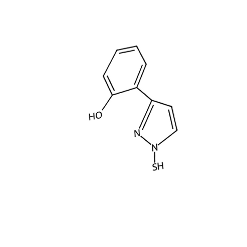 Oc1ccccc1-c1ccn(S)n1